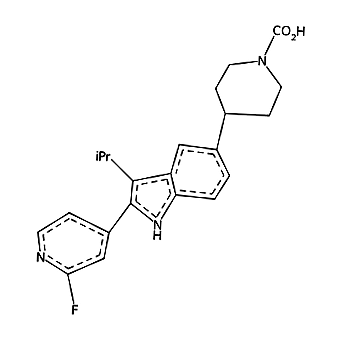 CC(C)c1c(-c2ccnc(F)c2)[nH]c2ccc(C3CCN(C(=O)O)CC3)cc12